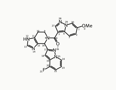 COc1ccc2c(C(=O)N3CCc4[nH]cnc4C3c3cc4c(F)cccn4n3)cnn2c1